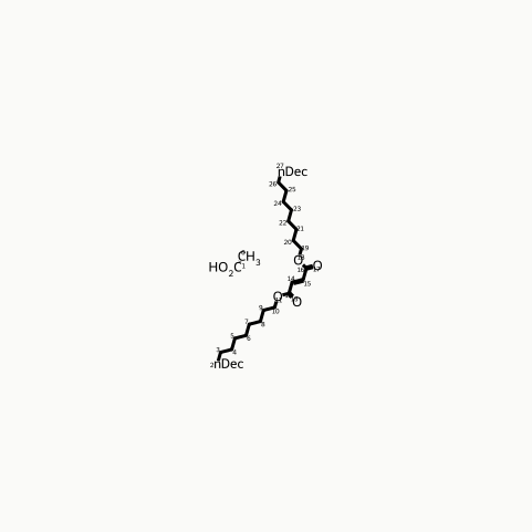 CC(=O)O.CCCCCCCCCCCCCCCCCCOC(=O)C=CC(=O)OCCCCCCCCCCCCCCCCCC